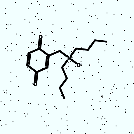 CCCC[N+]([O-])(CCCC)CC1=CC(=O)C=CC1=O